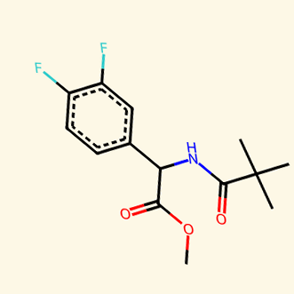 COC(=O)C(NC(=O)C(C)(C)C)c1ccc(F)c(F)c1